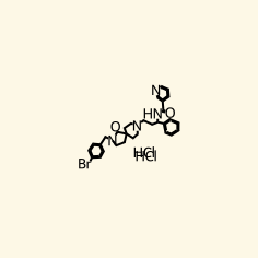 Cl.Cl.O=C(NC(CCN1CCC2(CC1)CCN(Cc1ccc(Br)cc1)C2=O)c1ccccc1)c1cccnc1